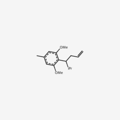 C=CCC(c1c(OC)cc(C)cc1OC)C(C)C